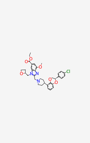 CCOC(=O)c1cc(OC)c2nc(CN3CCC(c4cccc5c4OC[C@@H](c4ccc(Cl)cc4)O5)CC3)n(C[C@@H]3CCO3)c2c1